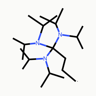 [CH2]CCC(N(C(C)C)C(C)C)(N(C(C)C)C(C)C)N(C(C)C)C(C)C